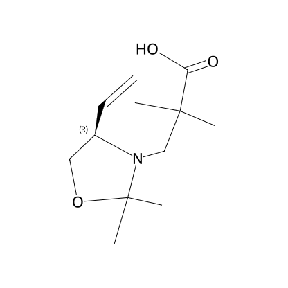 C=C[C@@H]1COC(C)(C)N1CC(C)(C)C(=O)O